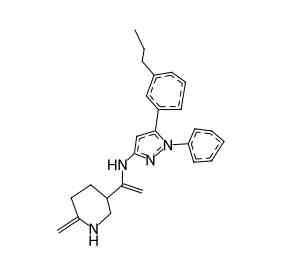 C=C1CCC(C(=C)Nc2cc(-c3cccc(CCC)c3)n(-c3ccccc3)n2)CN1